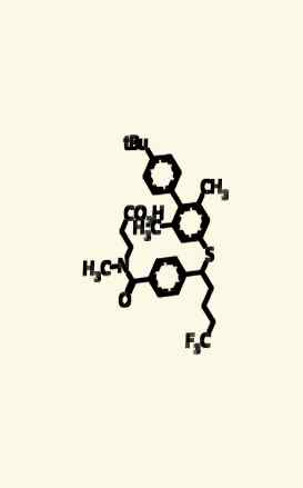 Cc1cc(SC(CCCC(F)(F)F)c2ccc(C(=O)N(C)CCC(=O)O)cc2)cc(C)c1-c1ccc(C(C)(C)C)cc1